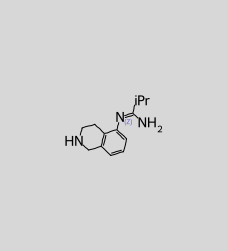 CC(C)/C(N)=N/c1cccc2c1CCNC2